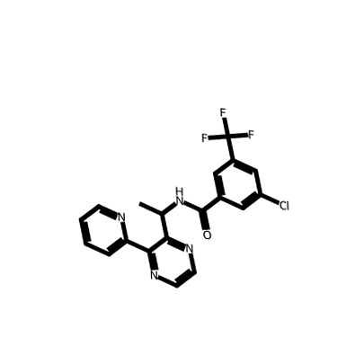 CC(NC(=O)c1cc(Cl)cc(C(F)(F)F)c1)c1nccnc1-c1ccccn1